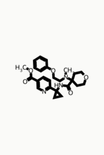 COC(=O)c1ccc(C2(NC(=O)C3(N(C)CCOc4ccccc4)CCOCC3)CC2)nc1